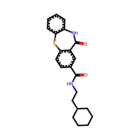 O=C(NCCC1CCCCC1)c1ccc2c(c1)C(=O)Nc1ccccc1S2